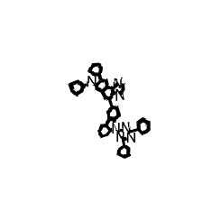 c1ccc(-c2nc(-c3ccccc3)nc(-n3c4ccccc4c4cc(-c5cc6cc7c(cc6c6nccnc56)c5ccccc5n7-c5ccccc5)ccc43)n2)cc1